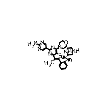 Cc1c(-c2ccccc2S(=O)(=O)C2CNCCN2)sc2c(N3CCOCC3)nc(-c3cnc(N)nc3)nc12